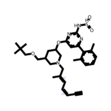 C#C/C=C\C=C(/C)CN1CC(COCC(C)(C)C)CC(Oc2cc(-c3c(C)cccc3C)nc(N[SH](=O)=O)n2)C1